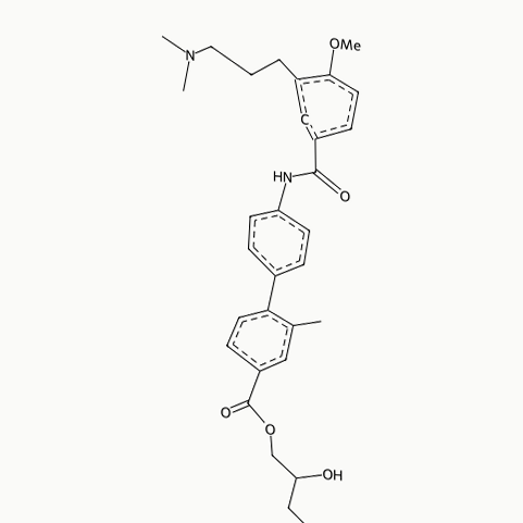 COc1ccc(C(=O)Nc2ccc(-c3ccc(C(=O)OCC(O)CO)cc3C)cc2)cc1CCCN(C)C